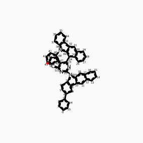 c1ccc(-c2ccc3c(c2)c2cc4ccccc4cc2n3-c2nc(-c3c4ccccc4cc4c5ccccc5n(-c5ccccc5)c34)c3ccccc3n2)cc1